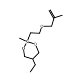 C=C(C)COCC[Si]1(C)OCC(CC)CO1